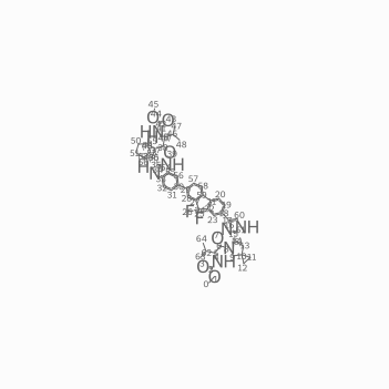 COC(=O)NC(C(=O)N1CC2(CC2)C[C@H]1c1nc(-c2ccc3c(c2)C(F)(F)c2cc(-c4ccc5nc([C@H]6C(C(=O)[C@@H](NC(=O)OC)C(C)C)[C@@H]7CC[C@H]6C7)[nH]c5c4)ccc2-3)c[nH]1)C(C)C